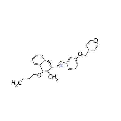 CCCCOc1c(C)c(/C=C/c2cccc(OCC3CCOCC3)c2)nc2ccccc12